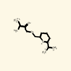 CC(C)C(=O)COCC1CCCC(C(C)C)O1